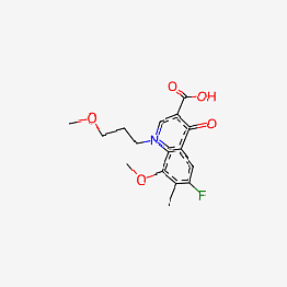 COCCCn1cc(C(=O)O)c(=O)c2cc(F)c(C)c(OC)c21